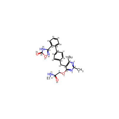 CCCCc1nc(C)nc(OCC(=O)NCC)c1Cc1ccc(-c2ccccc2-c2noc(=O)[nH]2)cc1